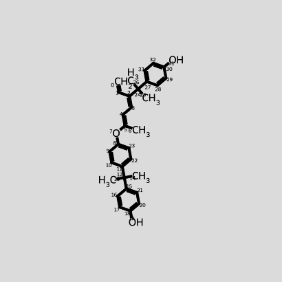 C=C/C(=C\C=C(/C)Oc1ccc(C(C)(C)c2ccc(O)cc2)cc1)C(C)(C)c1ccc(O)cc1